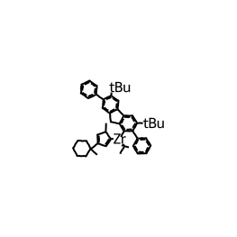 C[C](C)=[Zr]([C]1=CC(C2(C)CCCCC2)=CC1C)[c]1c2c(cc(C(C)(C)C)c1-c1ccccc1)-c1cc(C(C)(C)C)c(-c3ccccc3)cc1C2